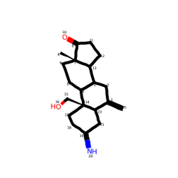 C=C1CC2C(CC[C@]3(C)C(=O)CCC23)[C@@]2(CO)CCC(=N)CC12